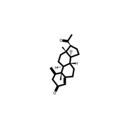 C=C1CC(=O)C=C2CC[C@@H]3[C@H](CC[C@]4(C)[C@@H](C(C)=O)CC[C@@H]34)[C@@]12C